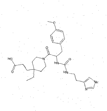 CCC1(CCC(=O)O)CCN(C(=O)C(Cc2ccc(OC)cc2)NC(=O)NCCc2c[nH]cn2)CC1